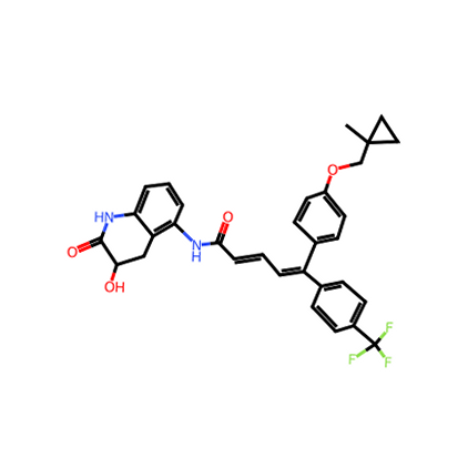 CC1(COc2ccc(C(=CC=CC(=O)Nc3cccc4c3CC(O)C(=O)N4)c3ccc(C(F)(F)F)cc3)cc2)CC1